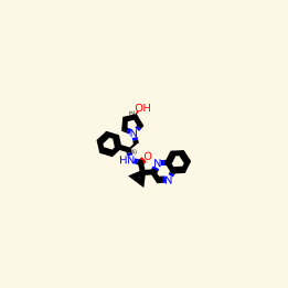 O=C(N[C@H](CN1CC[C@H](O)C1)c1ccccc1)C1(c2cnc3ccccc3n2)CC1